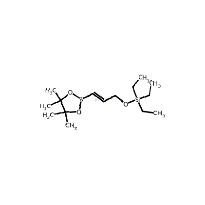 CC[Si](CC)(CC)OC/C=C/B1OC(C)(C)C(C)(C)O1